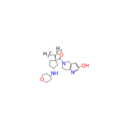 CC(C)[C@]1(C(=O)N2CCc3ncc(O)cc3C2)CC[C@@H](NC2CCOCC2)C1